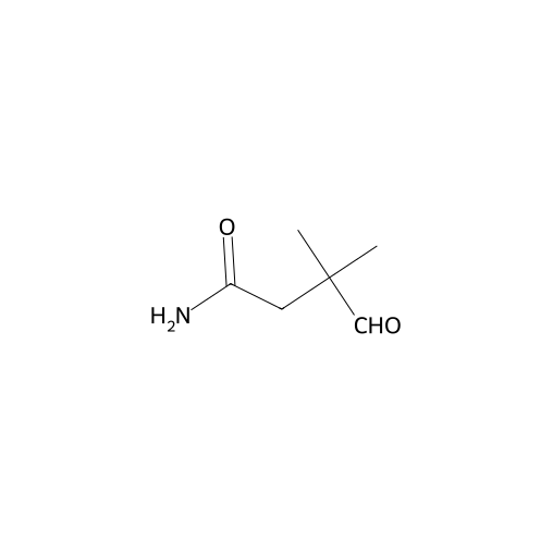 CC(C)(C=O)CC(N)=O